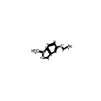 CB1OCc2cc(OCC(C)=O)ccc21